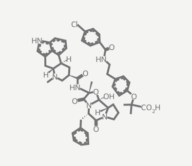 CC(C)(Oc1ccc(CCNC(=O)c2ccc(Cl)cc2)cc1)C(=O)O.CN1C[C@H](C(=O)N[C@]2(C)O[C@@]3(O)[C@@H]4CCCN4C(=O)[C@H](Cc4ccccc4)N3C2=O)C[C@@H]2c3cccc4[nH]cc(c34)C[C@H]21